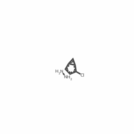 Clc1ccc2cc1-2.NN